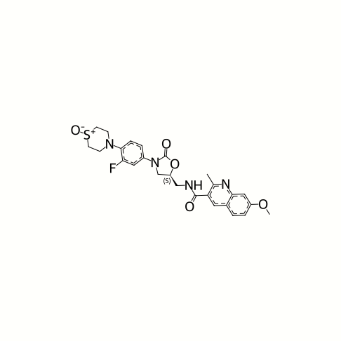 COc1ccc2cc(C(=O)NC[C@H]3CN(c4ccc(N5CC[S+]([O-])CC5)c(F)c4)C(=O)O3)c(C)nc2c1